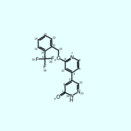 O=c1cc(-c2ccnc(OCc3ccccc3C(F)(F)F)c2)cn[nH]1